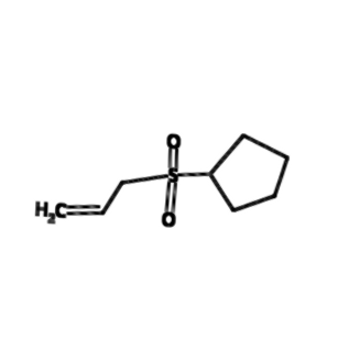 C=CCS(=O)(=O)C1CCCC1